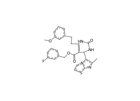 COc1cccc(CCC2=C(C(=O)OCc3cccc(F)c3)C(c3c(C)nc4sccn34)NC(=O)N2)c1